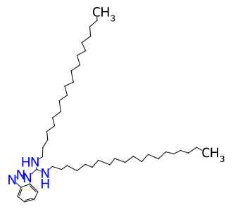 CCCCCCCCCCCCCCCCCCCCNC(NCCCCCCCCCCCCCCCCCCCC)n1nnc2ccccc21